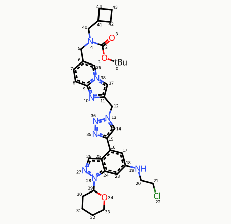 CC(C)(C)OC(=O)N(Cc1ccc2nc(Cn3cc(-c4cc(NCCCl)cc5c4cnn5C4CCCCO4)nn3)cn2c1)CC1CCC1